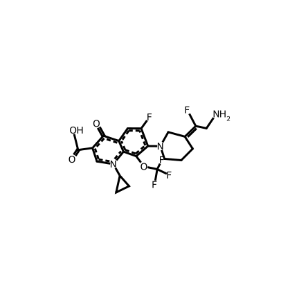 NC/C(F)=C1\CCCN(c2c(F)cc3c(=O)c(C(=O)O)cn(C4CC4)c3c2OC(F)(F)F)C1